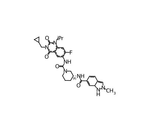 CC(C)n1c(=O)n(CC2CC2)c(=O)c2cc(NC(=O)N3CCC[C@@H](NC(=O)C4=CC5NN(C)C=C5C=C4)C3)c(F)cc21